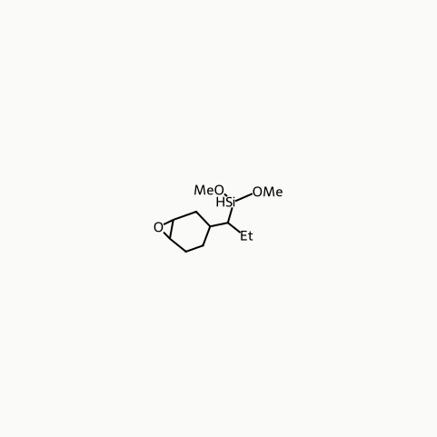 CCC(C1CCC2OC2C1)[SiH](OC)OC